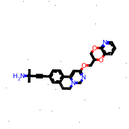 CC(C)(N)C#Cc1ccc2c(c1)CCN1CN=C(OCC3COc4ncccc4O3)C=C21